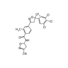 Cc1cc(C2=NOC(c3cc(Cl)c(Cl)c(Cl)c3)(C(F)(F)F)C2)ccc1C(=O)NC1CC(C#N)=NO1